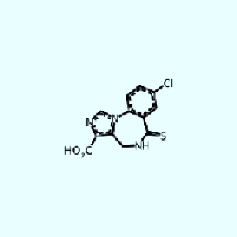 O=C(O)c1ncn2c1CNC(=S)c1cc(Cl)ccc1-2